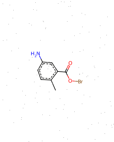 Cc1ccc(N)cc1C(=O)OBr